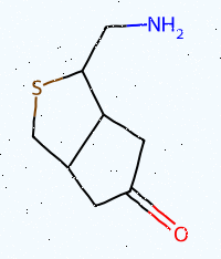 NCC1SCC2CC(=O)CC21